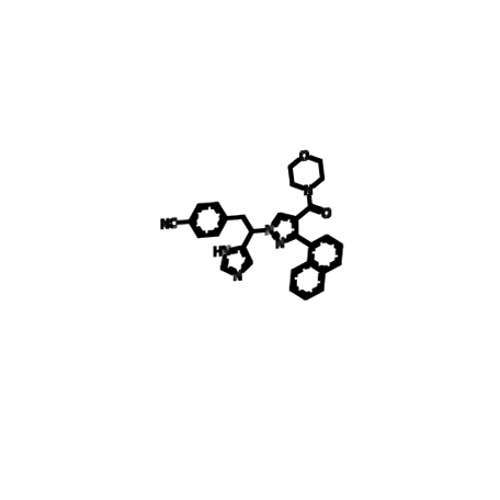 N#Cc1ccc(CC(c2cnc[nH]2)n2cc(C(=O)N3CCOCC3)c(-c3cccc4ccccc34)n2)cc1